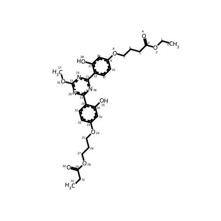 CCOC(=O)CCCOc1ccc(-c2nc(OC)nc(-c3ccc(OCCCOC(=O)CC)cc3O)n2)c(O)c1